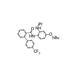 CCCCOc1ccc(NC(=O)c2ccccc2-c2ccc(C(F)(F)F)cc2)c(NC(C)C)c1